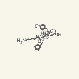 C[C@H](NC(=O)[C@@H](Cc1ccc(Cl)cc1)NC(=O)[C@H](COCc1ccccc1)NC(=O)CCCCCCN)C(=O)O